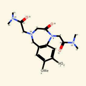 COc1cc2c(cc1[N+](=O)[O-])N(CC(=O)N(C)C)C(=O)CN(CC(=O)N(C)C)C2